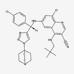 [2H][C@](Nc1cc(Cl)c2ncc(C#N)c(NCC(C)(C)C)c2c1)(c1ccc(Cl)cc1)c1cn(C23CCN(CC2)CC3)nn1